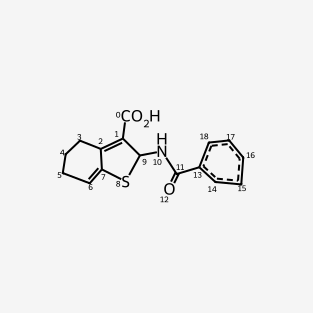 O=C(O)C1=C2CCCC=C2SC1NC(=O)c1ccccc1